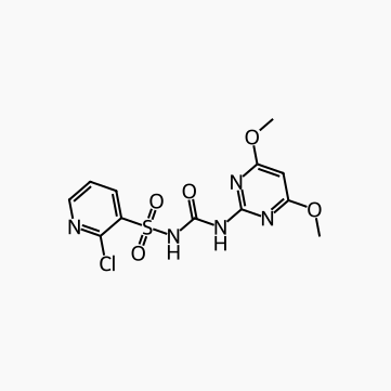 COc1cc(OC)nc(NC(=O)NS(=O)(=O)c2cccnc2Cl)n1